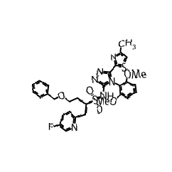 COc1cccc(OC)c1-n1c(NS(=O)(=O)C(CCOCc2ccccc2)Cc2ccc(F)cn2)nnc1-c1nc(C)cs1